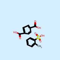 Cc1ccccc1S(=O)(=O)O.O=C(O)c1ccc(C(=O)O)cc1